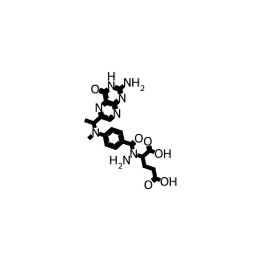 CC(c1cnc2nc(N)[nH]c(=O)c2n1)N(C)c1ccc(C(=O)N(N)C(CCC(=O)O)C(=O)O)cc1